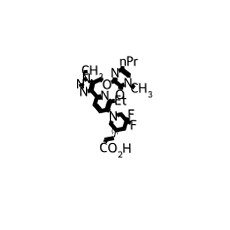 CCCc1cn(C)c(=O)c(OCc2c(-c3ccc(N4C[C@@H](CCC(=O)O)CC(F)(F)C4)c(CC)n3)nnn2C)n1